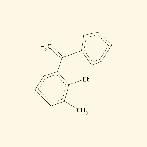 C=C(c1ccccc1)c1cccc(C)c1CC